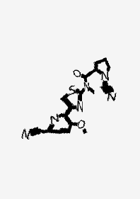 COc1ccc(C#N)nc1-c1csc(N(C)C(=O)C2CCCN2C#N)n1